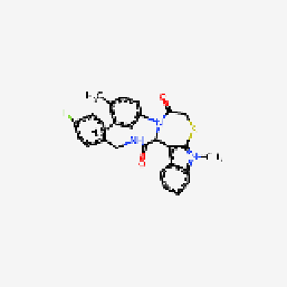 Cc1ccc(N2C(=O)CSc3c(c4ccccc4n3C)C2C(=O)NCc2ccc(F)cc2)cc1C